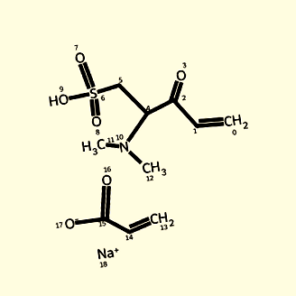 C=CC(=O)C(CS(=O)(=O)O)N(C)C.C=CC(=O)[O-].[Na+]